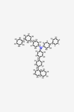 c1ccc(-c2ccc(N(c3ccc(-c4ccc(-c5cccc6ccccc56)cc4)cc3)c3ccc(-c4cccc(-c5ccccc5)c4)cc3)cc2)cc1